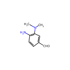 CN(C)c1cc(C=O)ccc1N